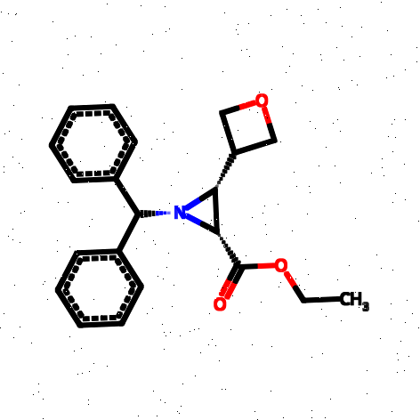 CCOC(=O)[C@H]1[C@@H](C2COC2)[N@@]1C(c1ccccc1)c1ccccc1